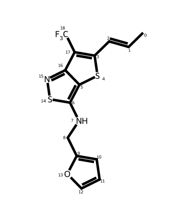 C/C=C/c1sc2c(NCc3ccco3)snc2c1C(F)(F)F